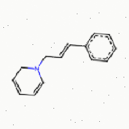 [C]1=CC=CCN1C/C=C/c1ccccc1